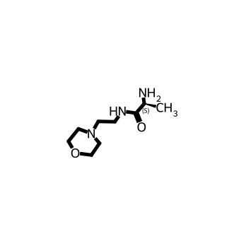 C[C@H](N)C(=O)NCCN1CCOCC1